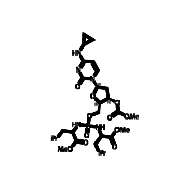 COC(=O)O[C@@H]1C[C@H](n2ccc(NC3CC3)nc2=O)O[C@@H]1COP(=O)(NC(CC(C)C)C(=O)OC)NC(CC(C)C)C(=O)OC